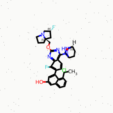 CCc1cccc2cc(O)cc(-c3c(Cl)cc4c(N5C[C@@H]6CCC5CN6)nc(OC[C@@]56CCCN5C[C@H](F)C6)nc4c3F)c12